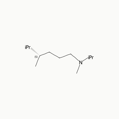 CC(C)[C@@H](C)CCCN(C)C(C)C